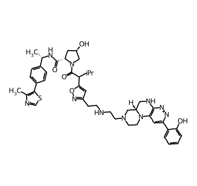 Cc1ncsc1-c1ccc([C@H](C)NC(=O)[C@@H]2C[C@@H](O)CN2C(=O)C(c2cc(CCNCCN3CCN4c5cc(-c6ccccc6O)nnc5NC[C@H]4C3)no2)C(C)C)cc1